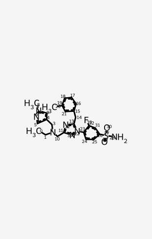 CCN(Cc1cnn(C)c1)Cc1nc(Cc2cccc(C)c2)n(-c2ccc(S(N)(=O)=O)cc2F)n1